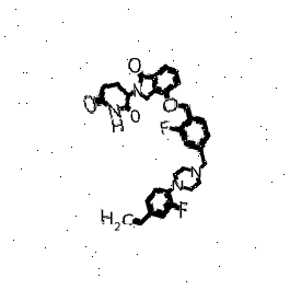 C=Cc1ccc(N2CCN(Cc3ccc(COc4cccc5c4CN(C4CCC(=O)NC4=O)C5=O)c(F)c3)CC2)c(F)c1